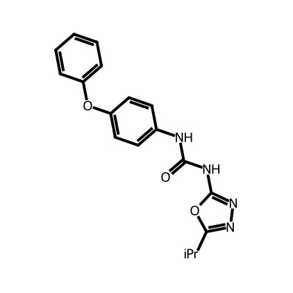 CC(C)c1nnc(NC(=O)Nc2ccc(Oc3ccccc3)cc2)o1